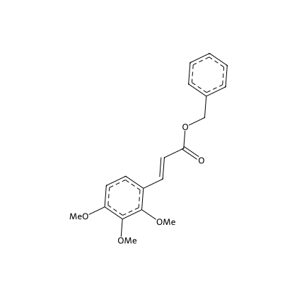 COc1ccc(/C=C/C(=O)OCc2ccccc2)c(OC)c1OC